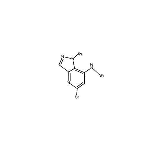 CC(C)Nc1cc(Br)nc2cnn(C(C)C)c12